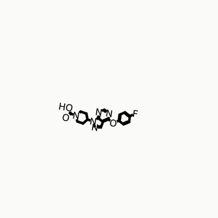 O=C(O)N1CCC(n2ncc3c(Oc4ccc(F)cc4)ncnc32)CC1